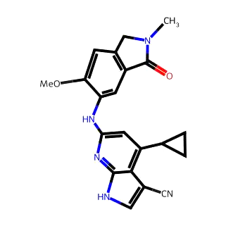 COc1cc2c(cc1Nc1cc(C3CC3)c3c(C#N)c[nH]c3n1)C(=O)N(C)C2